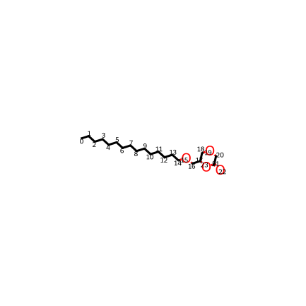 CCCCCCCCCCCCCCCOCC1COCC(=O)O1